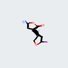 NC1=C/C(=C2/C=C(I)OC2)C(=O)O1